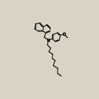 CCCCCCCCCCN(Cc1cccc2ccccc12)c1ccc(OC)cc1